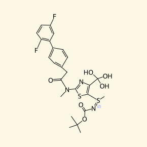 CN(C(=O)Cc1ccc(-c2cc(F)ccc2F)cc1)c1nc(C(O)(O)O)c(/S(C)=N\C(=O)OC(C)(C)C)s1